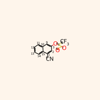 N#Cc1cc(OS(=O)(=O)C(F)(F)F)cc2ccccc12